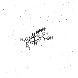 CC1(C)O[C@H]2O[C@H]([C@@H](O)CO)[C@H](N=[N+]=[N-])[C@H]2O1